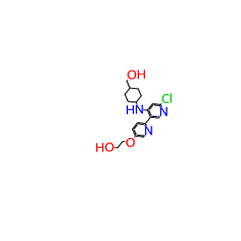 OCCOc1ccc(-c2cnc(Cl)cc2NC2CCC(CO)CC2)nc1